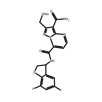 COCc1nn2c(C(=O)NC3COc4c(F)cc(F)cc43)ccnc2c1C(N)=O